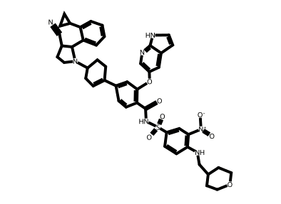 N#CC1CCN(C2CC=C(c3ccc(C(=O)NS(=O)(=O)c4ccc(NCC5CCOCC5)c([N+](=O)[O-])c4)c(Oc4cnc5[nH]ccc5c4)c3)CC2)C1c1ccccc1C1CC1